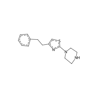 c1ccc(CCc2csc(N3CCNCC3)n2)cc1